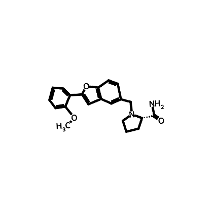 COc1ccccc1-c1cc2cc(CN3CCC[C@H]3C(N)=O)ccc2o1